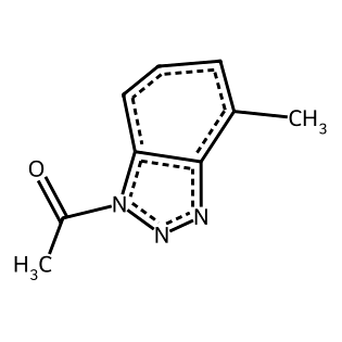 CC(=O)n1nnc2c(C)cccc21